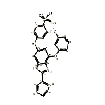 CCS(=O)(=O)c1ccc(Oc2cc(Oc3cccc(C(F)(F)F)c3)c3nc(-c4cnccn4)[nH]c3c2)cn1